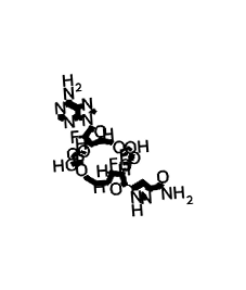 NC(=O)c1cc([C@@H]2O[C@@H]3CCOP(=O)(O)O[C@H]4[C@@H](F)[C@H](n5cnc6c(N)ncnc65)O[C@@H]4COP(=O)(O)O[C@@H]2[C@@H]3F)[nH]n1